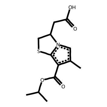 Cc1cn2c(c1C(=O)OC(C)C)SCC2CC(=O)O